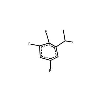 CC(C)c1cc(F)cc(F)c1F